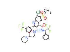 CCS(=O)(=O)c1cc2c(C(=O)N[C@H](c3ccccc3)C(F)(F)F)c(CN3CCC(N4CCCCC4)CC3)c(-c3cccc(C(F)(F)F)c3)nc2cc1Cl